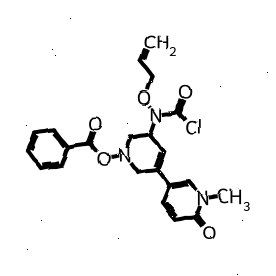 C=CCON(C(=O)Cl)C1C=C(c2ccc(=O)n(C)c2)CN(OC(=O)c2ccccc2)C1